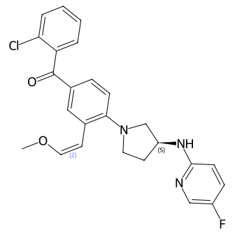 CO/C=C\c1cc(C(=O)c2ccccc2Cl)ccc1N1CC[C@H](Nc2ccc(F)cn2)C1